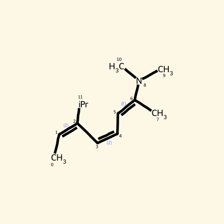 C\C=C(/C=C\C=C(/C)N(C)C)C(C)C